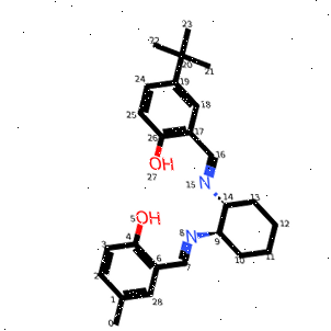 Cc1ccc(O)c(/C=N/[C@@H]2CCCC[C@H]2/N=C/c2cc(C(C)(C)C)ccc2O)c1